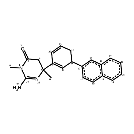 CN1C(=O)CC(C)(C2=CC(c3ccc4ccccc4c3)CC=C2)N=C1N